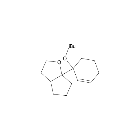 CCC(C)OC1(C23CCCC2CCO3)C=CCCC1